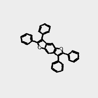 c1ccc(-c2oc3cc4c(-c5ccccc5)c(-c5ccccc5)oc4cc3c2-c2ccccc2)cc1